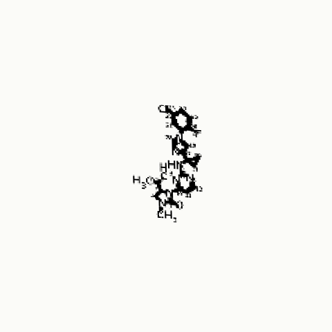 CC(C)C1CN(C)C(=O)N1c1ccnc(NC2(c3cn(-c4cc(Cl)ccc4F)cn3)CC2)n1